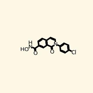 O=C(NO)c1ccc2ccn(-c3ccc(Cl)cc3)c(=O)c2c1